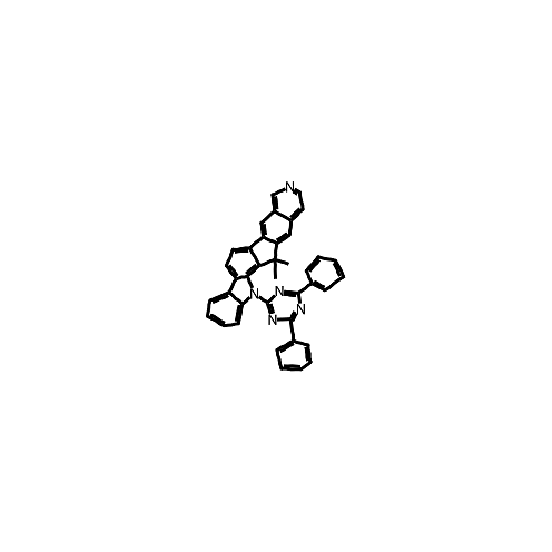 CC1(C)c2cc3ccncc3cc2-c2ccc3c4ccccc4n(-c4nc(-c5ccccc5)nc(-c5ccccc5)n4)c3c21